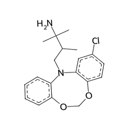 CC(CN1c2ccccc2OCOc2ccc(Cl)cc21)C(C)(C)N